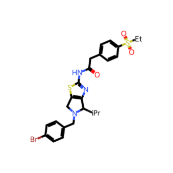 CCS(=O)(=O)c1ccc(CC(=O)Nc2nc3c(s2)CN(Cc2ccc(Br)cc2)C3C(C)C)cc1